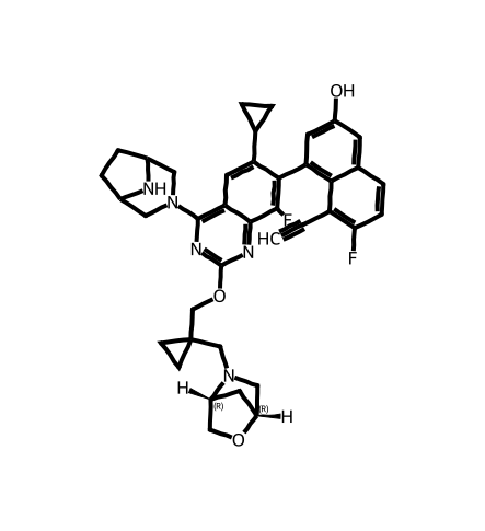 C#Cc1c(F)ccc2cc(O)cc(-c3c(C4CC4)cc4c(N5CC6CCC(C5)N6)nc(OCC5(CN6C[C@H]7C[C@@H]6CO7)CC5)nc4c3F)c12